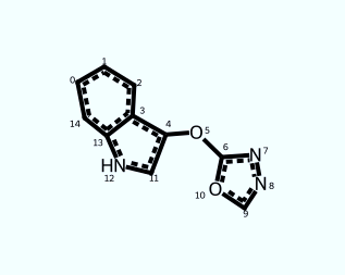 c1ccc2c(Oc3nnco3)c[nH]c2c1